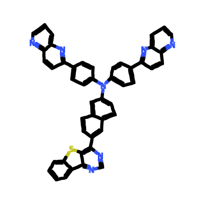 c1cnc2ccc(-c3ccc(N(c4ccc(-c5ccc6ncccc6n5)cc4)c4ccc5cc(-c6ncnc7c6sc6ccccc67)ccc5c4)cc3)nc2c1